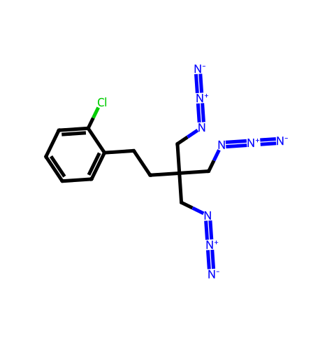 [N-]=[N+]=NCC(CCc1ccccc1Cl)(CN=[N+]=[N-])CN=[N+]=[N-]